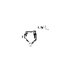 [CaH2].c1cnoc1